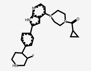 O=C(C1CC1)N1CCN(c2ccnc3[nH]c(-c4ccc(C5CCNCC5F)cc4)cc23)CC1